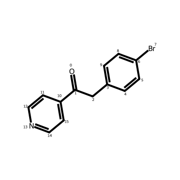 O=C(Cc1ccc(Br)cc1)c1ccncc1